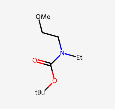 CCN(CCOC)C(=O)OC(C)(C)C